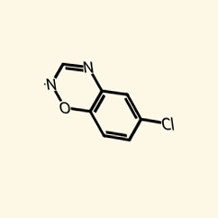 Clc1ccc2c(c1)N=C[N]O2